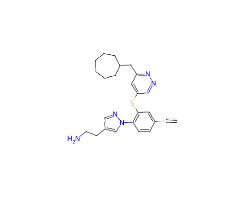 C#Cc1ccc(-n2cc(CCN)cn2)c(Sc2cnnc(CC3CCCCCC3)c2)c1